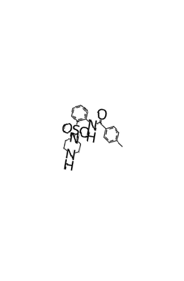 Cc1ccc(C(=O)Nc2ccccc2S(=O)(=O)N2CCNCC2)cc1